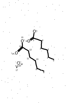 CCCCCC(=O)[O-].CCCCCC(=O)[O-].[Cl-].[V+3]